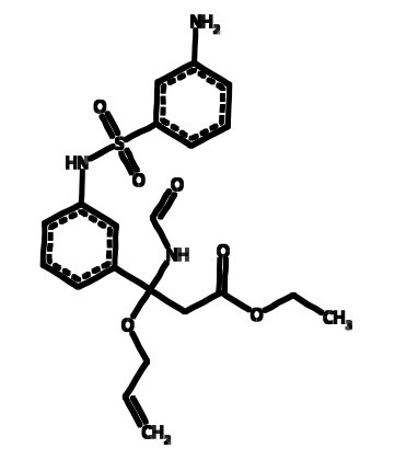 C=CCOC(CC(=O)OCC)(NC=O)c1cccc(NS(=O)(=O)c2cccc(N)c2)c1